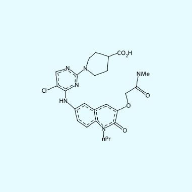 CCCn1c(=O)c(OCC(=O)NC)cc2cc(Nc3nc(N4CCC(C(=O)O)CC4)ncc3Cl)ccc21